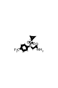 NC(=O)CN(c1ccc(C(F)(F)F)cc1)S(=O)(=O)C1CC1